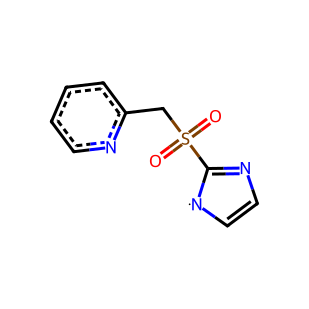 O=S(=O)(Cc1ccccn1)C1=NC=C[N]1